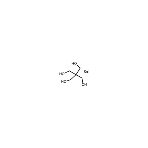 OCC(CO)(CO)CO.[Sn]